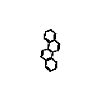 C1=Cc2ccc3c4c(ccc3c2CC1)=CCCC=4